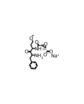 COCCC(NC(=O)[C@H]1O[C@@H]1C(=O)[O-])C(=O)[C@@H](N)Cc1ccccc1.[Na+]